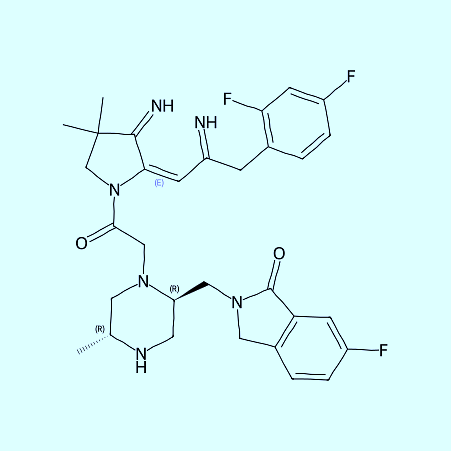 C[C@@H]1CN(CC(=O)N2CC(C)(C)C(=N)/C2=C\C(=N)Cc2ccc(F)cc2F)[C@@H](CN2Cc3ccc(F)cc3C2=O)CN1